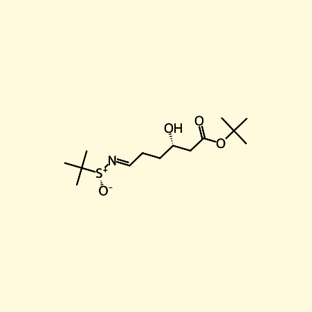 CC(C)(C)OC(=O)C[C@@H](O)CCC=N[S@+]([O-])C(C)(C)C